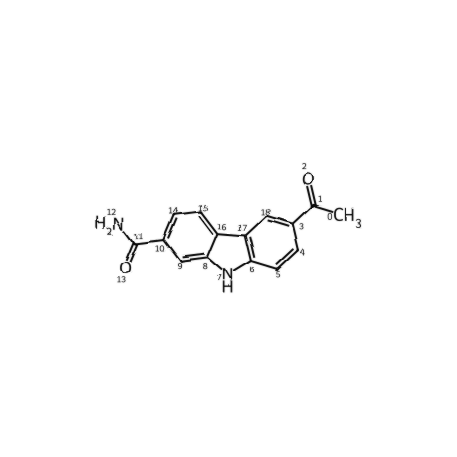 CC(=O)c1ccc2[nH]c3cc(C(N)=O)ccc3c2c1